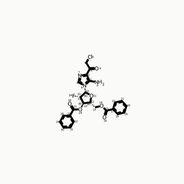 Nc1c(C(=O)CCl)ncn1[C@@H]1O[C@H](COC(=O)c2ccccc2)[C@@H](OC(=O)c2ccccc2)[C@@H]1F